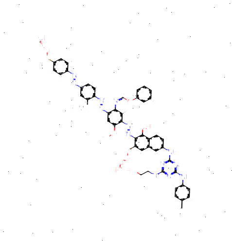 CCOc1cc(N=Nc2ccc(N=Nc3ccc(SOOO)cc3)cc2OC)c(/N=C\Oc2ccccc2)cc1N=Nc1c(SOOO)cc2cc(Nc3nc(NCCO)nc(Nc4ccc(C)cc4)n3)ccc2c1O